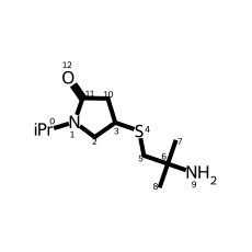 CC(C)N1CC(SCC(C)(C)N)CC1=O